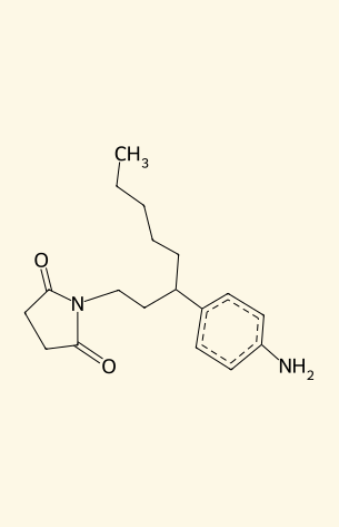 CCCCCC(CCN1C(=O)CCC1=O)c1ccc(N)cc1